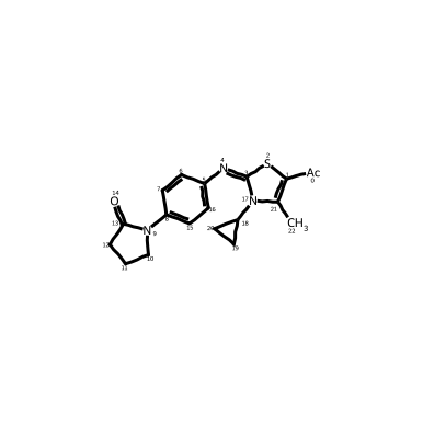 CC(=O)c1sc(=Nc2ccc(N3CCCC3=O)cc2)n(C2CC2)c1C